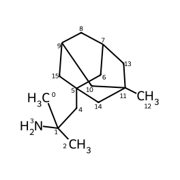 CC(C)(N)CC12CC3CC(CC(C)(C3)C1)C2